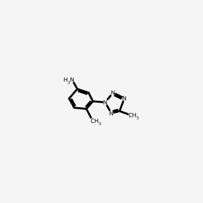 Cc1nnn(-c2cc(N)ccc2C)n1